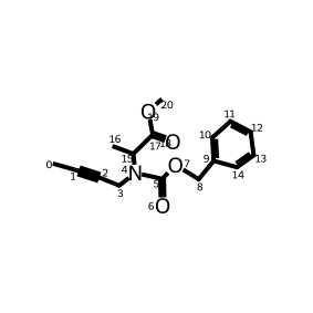 CC#CCN(C(=O)OCc1ccccc1)C(C)C(=O)OC